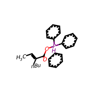 CC=C(CCCC)C(=O)O[PH](c1ccccc1)(c1ccccc1)c1ccccc1